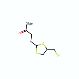 COC(=O)CCC1SCC(CS)S1